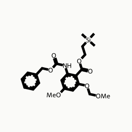 COCOc1cc(OC)cc(NC(=O)OCc2ccccc2)c1C(=O)OCC[Si](C)(C)C